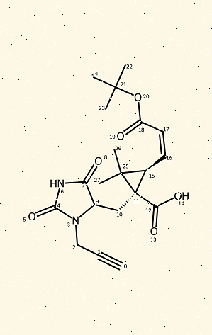 C#CCN1C(=O)NC(=O)C1C[C@@]1(C(=O)O)[C@H](/C=C\C(=O)OC(C)(C)C)C1(C)C